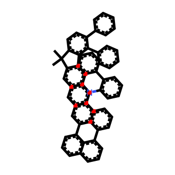 CC1(C)c2ccc(N(c3ccc(-c4cccc5cccc(-c6ccccc6)c45)cc3)c3ccccc3-c3ccccc3-c3ccccc3)cc2-c2c1ccc(-c1ccccc1)c2-c1ccccc1